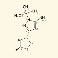 CC(C)(C)n1nc([C@@H]2C[CH][C@@H](F)C2)cc1N